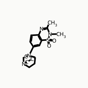 CC1=Nc2ccc(N3CCN4CCC3CC4)cc2S(=O)(=O)N1C